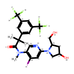 CN(C(=O)C(C)(C)c1cc(C(F)(F)F)cc(C(F)(F)F)c1)c1cnc(N2CC(O)CC2CO)cc1I